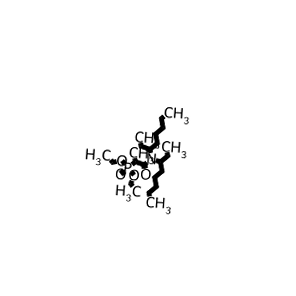 CCCCCC(CC)N(C(=O)C(C)P(=O)(OCC)OCC)C(CC)CCCCC